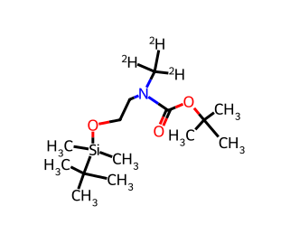 [2H]C([2H])([2H])N(CCO[Si](C)(C)C(C)(C)C)C(=O)OC(C)(C)C